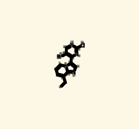 CCc1cccn2c(-c3nc(Cl)ncc3Br)cnc12